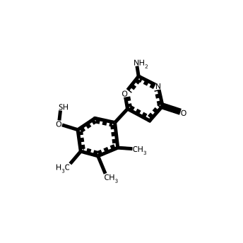 Cc1c(OS)cc(-c2cc(=O)nc(N)o2)c(C)c1C